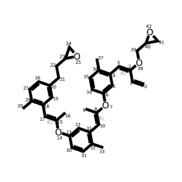 C=C/C(=C\c1cc(O/C(C)=C/c2cc(O/C(C)=C/c3cc(CCC4CO4)ccc3C)ccc2C)ccc1C)OCC1CO1